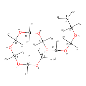 C[SiH](C)O[Si](C)(C)O[Si](C)(C)O[Si](C)(C)O[Si](C)(C)O[Si](C)(C)O[Si](C)(C)O[Si](C)(C)O[Si](C)(C)[SiH](C)C